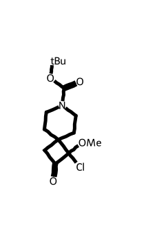 COC1(Cl)C(=O)CC12CCN(C(=O)OC(C)(C)C)CC2